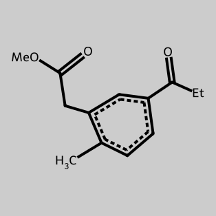 CCC(=O)c1ccc(C)c(CC(=O)OC)c1